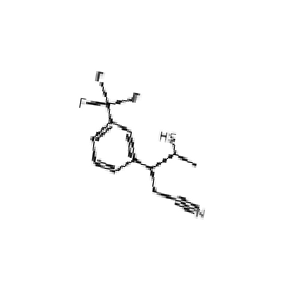 CC(S)C(CC#N)c1cccc(C(F)(F)F)c1